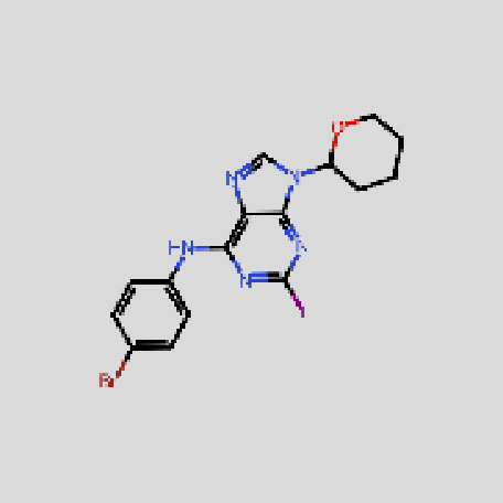 Brc1ccc(Nc2nc(I)nc3c2ncn3C2CCCCO2)cc1